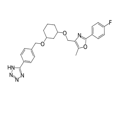 Cc1oc(-c2ccc(F)cc2)nc1COC1CCCC(OCc2ccc(-c3nnn[nH]3)cc2)C1